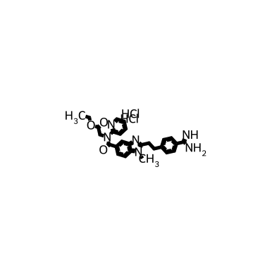 CCOC(=O)CN(C(=O)c1ccc2c(c1)nc(CCc1ccc(C(=N)N)cc1)n2C)c1ccccn1.Cl.Cl